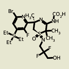 CC[Si](CC)(CC)c1cc(Br)nc([C@]2(C)C[S@](=O)(=NCC(F)(F)CO)C(C)(C)C(NC(=O)O)=N2)c1F